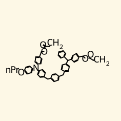 C=CC(=O)OCc1ccc(C(c2ccccc2)c2ccc(Cc3ccc(Cc4ccc(N(c5ccc(COC(=O)C=C)cc5)c5ccc(OCCC)cc5)cc4)cc3)cc2)cc1